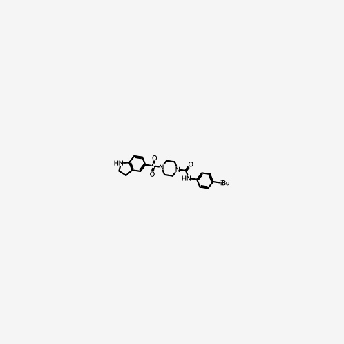 CCC(C)c1ccc(NC(=O)N2CCN(S(=O)(=O)c3ccc4c(c3)CCN4)CC2)cc1